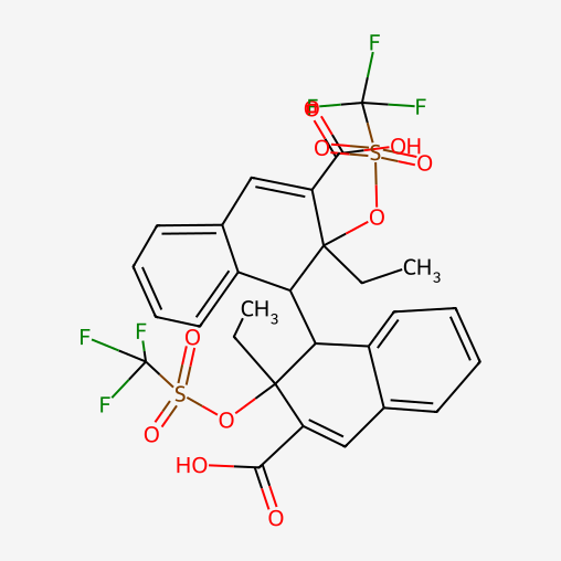 CCC1(OS(=O)(=O)C(F)(F)F)C(C(=O)O)=Cc2ccccc2C1C1c2ccccc2C=C(C(=O)O)C1(CC)OS(=O)(=O)C(F)(F)F